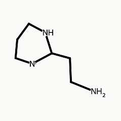 NCCC1[N]CCCN1